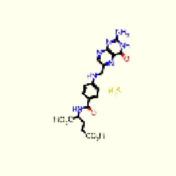 Nc1nc2ncc(CNc3ccc(C(=O)NC(CCC(=O)O)C(=O)O)cc3)nc2c(=O)[nH]1.S